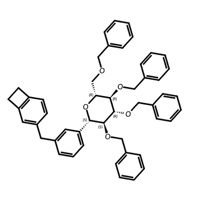 c1ccc(COC[C@H]2O[C@@H](c3cccc(Cc4ccc5c(c4)CC5)c3)[C@H](OCc3ccccc3)[C@@H](OCc3ccccc3)[C@@H]2OCc2ccccc2)cc1